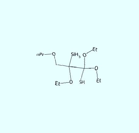 CCCOCC([SiH3])(OCC)C(S)(OCC)OCC